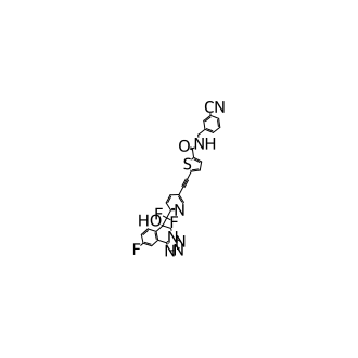 N#Cc1cccc(CNC(=O)c2ccc(C#Cc3ccc(C(F)(F)C4(O)Cn5nnnc5-c5cc(F)ccc54)nc3)s2)c1